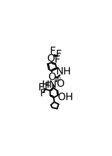 O=C(Nc1cc(O)c(C2CCCC2)cc1C(F)(F)F)[C@H]1CNc2cc(OC(F)(F)F)ccc2O1